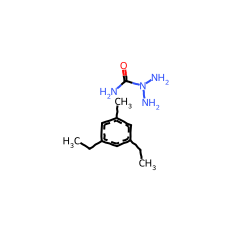 CCc1cc(C)cc(CC)c1.NC(=O)N(N)N